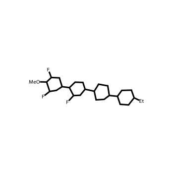 CCC1CCC(C2CCC(C3CCC(C4CC(F)C(OC)C(F)C4)C(F)C3)CC2)CC1